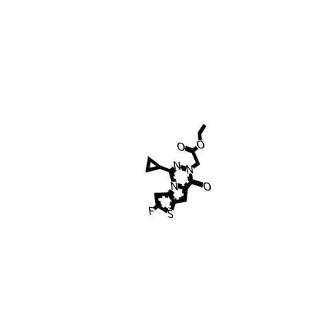 CCOC(=O)Cn1nc(C2CC2)n2c(cc3sc(F)cc32)c1=O